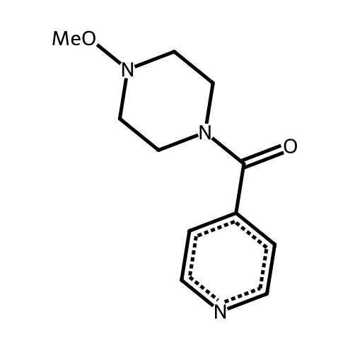 CON1CCN(C(=O)c2ccncc2)CC1